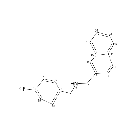 Fc1ccc(CNCc2ccc3ccccc3c2)cc1